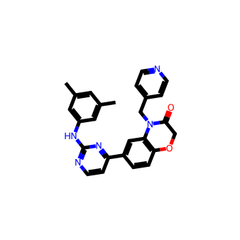 Cc1cc(C)cc(Nc2nccc(-c3ccc4c(c3)N(Cc3ccncc3)C(=O)CO4)n2)c1